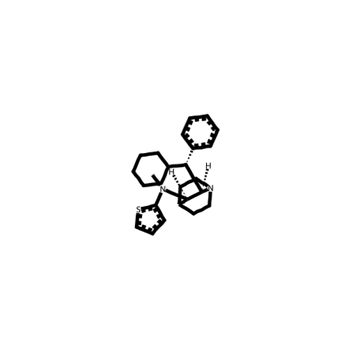 CN(c1cccs1)[C@@H]1C2CCN(CC2)[C@@H]1[C@@H](c1ccccc1)C1CCCCC1